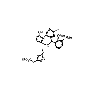 CCOC(=O)Cc1nnn(CC[C@H]2O[C@H](c3cccc(OC)c3OC)c3cc(Cl)ccc3-n3c(C#N)ccc32)n1